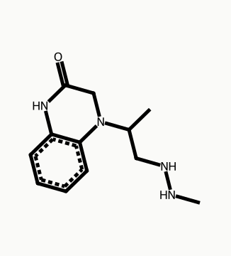 CNNCC(C)N1CC(=O)Nc2ccccc21